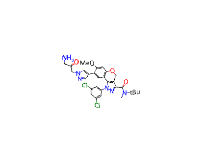 COc1cc2c(cc1-c1cnn(CC(=O)CN)c1)-c1c(c(C(=O)N(C)C(C)(C)C)nn1-c1cc(Cl)cc(Cl)c1)CO2